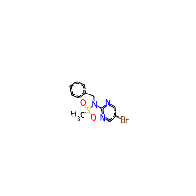 CS(=O)(=O)N(Cc1ccccc1)c1ncc(Br)cn1